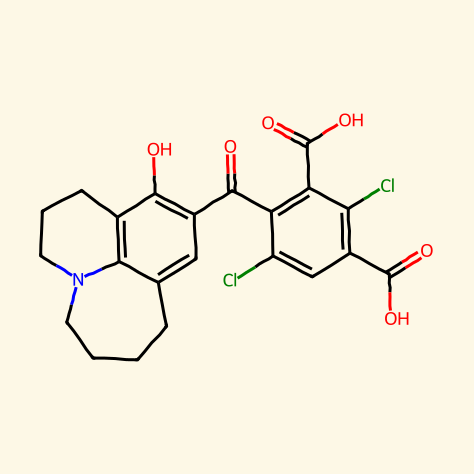 O=C(O)c1cc(Cl)c(C(=O)c2cc3c4c(c2O)CCCN4CCCC3)c(C(=O)O)c1Cl